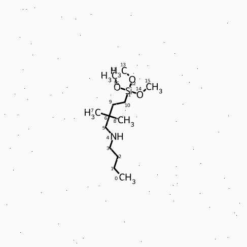 CCCCNCC(C)(C)CC[Si](OC)(OC)OC